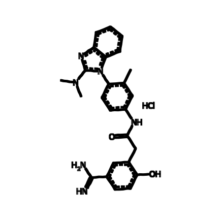 Cc1cc(NC(=O)Cc2cc(C(=N)N)ccc2O)ccc1-n1c(N(C)C)nc2ccccc21.Cl